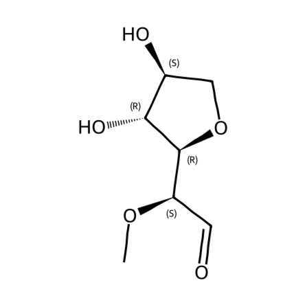 CO[C@H](C=O)[C@@H]1OC[C@H](O)[C@H]1O